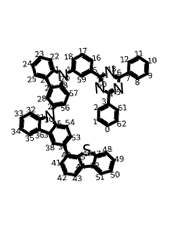 c1ccc(-c2nc(-c3ccccc3)nc(-c3cccc(-n4c5ccccc5c5cc(-n6c7ccccc7c7cc(-c8cccc9c8sc8ccccc89)ccc76)ccc54)c3)n2)cc1